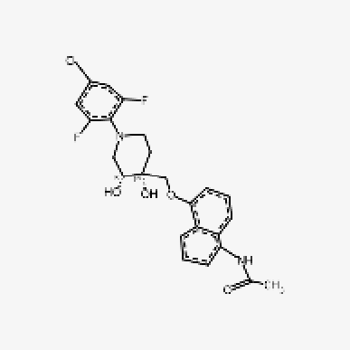 CC(=O)Nc1cccc2c(OC[C@]3(O)CCN(c4c(F)cc(Cl)cc4F)C[C@H]3O)cccc12